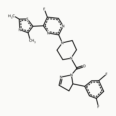 Cc1nc(C)c(-c2nc(N3CCN(C(=O)N4N=CCC4c4cc(F)cc(F)c4)CC3)ncc2F)s1